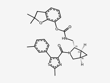 Cc1cccc(-c2sc(C)nc2C(=O)N2C[C@@H]3C[C@@H]3[C@H]2CNC(=O)Oc2cccc3c2OC(C)(C)C3)c1